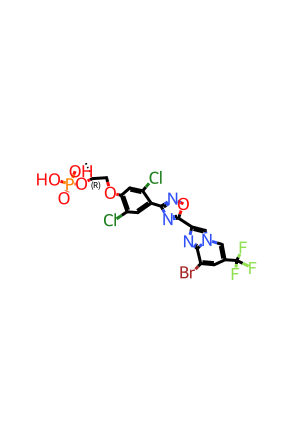 C[C@H](COc1cc(Cl)c(-c2noc(-c3cn4cc(C(F)(F)F)cc(Br)c4n3)n2)cc1Cl)OP(=O)(O)O